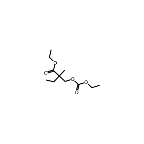 CCOC(=O)OCC(C)(CC)C(=O)OCC